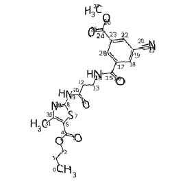 CCCOC(=O)c1sc(NC(=O)CCNC(=O)c2cc(C#N)cc(C(=O)OC)c2)nc1C